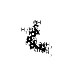 COc1nc(-c2ccc(F)c(-c3cccc(NC(=O)c4nn(C)c(=O)n(C)c4=O)c3Cl)c2Cl)cc2c1[C@@H](N1CC(O)C1)CC2